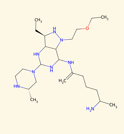 C=C(CCCC(C)N)NC1NC(N2CCN[C@@H](C)C2)NC2C1N(CCOCC)N[C@@H]2CC